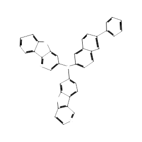 c1ccc(-c2ccc3cc(N(c4ccc5c(c4)oc4ccncc45)c4cnc5c(c4)oc4ccccc45)ccc3c2)cc1